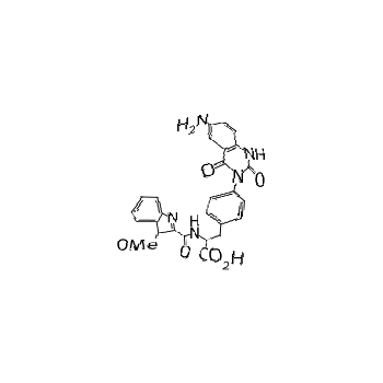 COC1C(C(=O)NC(Cc2ccc(-n3c(=O)[nH]c4ccc(N)cc4c3=O)cc2)C(=O)O)=Nc2ccccc21